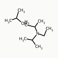 CC(C)O.CCN(C(C)C)C(C)C